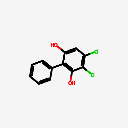 Oc1cc(Cl)c(Cl)c(O)c1-c1ccccc1